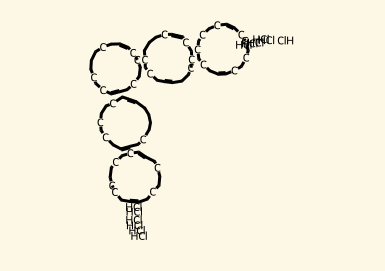 C1=CCCCCCCCCC=CCCCCCC1.C1=CCCCCCCCCC=CCCCCCC1.C1=CCCCCCCCCC=CCCCCCC1.C1=CCCCCCCCCC=CCCCCCC1.C1=CCCCCCCCCC=CCCCCCC1.Cl.Cl.Cl.Cl.Cl.Cl.Cl.Cl.Cl.Cl.Cl.Cl